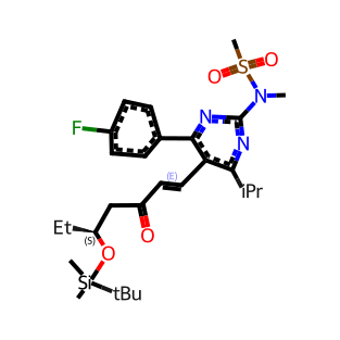 CC[C@@H](CC(=O)/C=C/c1c(-c2ccc(F)cc2)nc(N(C)S(C)(=O)=O)nc1C(C)C)O[Si](C)(C)C(C)(C)C